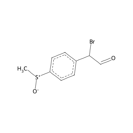 C[S+]([O-])c1ccc(C(Br)C=O)cc1